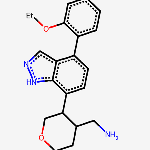 CCOc1ccccc1-c1ccc(C2COCCC2CN)c2[nH]ncc12